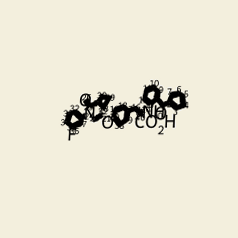 O=C(c1ccccc1)c1ccccc1N[C@@H](Cc1ccc(OCCN(C(=O)C2CCC2)c2cccc(F)c2)cc1)C(=O)O